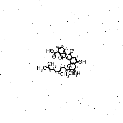 CC(C)=CCC/C(C)=C/CCC1(C)Oc2c(c(O)cc3c2CN(c2cccc(C(=O)O)c2O)C3=O)CC1O